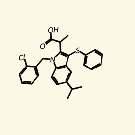 CC(C)c1ccc2c(c1)c(Sc1ccccc1)c(C(C)C(=O)O)n2Cc1ccccc1Cl